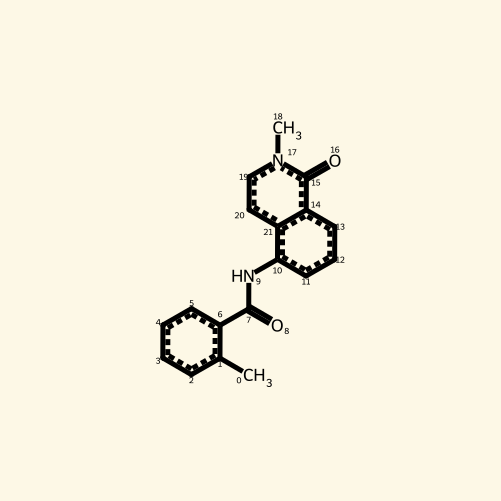 Cc1ccccc1C(=O)Nc1cccc2c(=O)n(C)ccc12